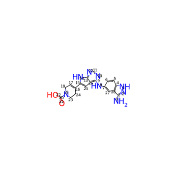 Nc1n[nH]c2ccc(Nc3ncnc4[nH]c(C5=CCN(C(=O)O)CC5)cc34)cc12